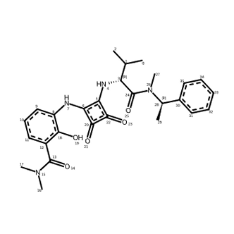 CC(C)[C@@H](Nc1c(Nc2cccc(C(=O)N(C)C)c2O)c(=O)c1=O)C(=O)N(C)[C@H](C)c1ccccc1